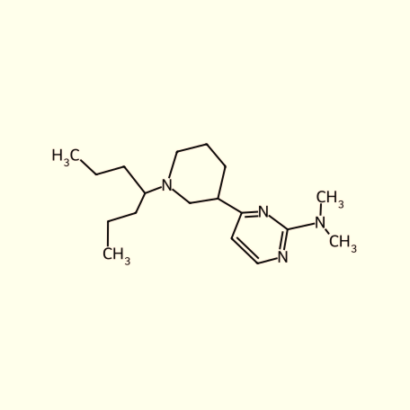 CCCC(CCC)N1CCCC(c2ccnc(N(C)C)n2)C1